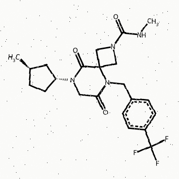 CNC(=O)N1CC2(C1)C(=O)N([C@@H]1CC[C@@H](C)C1)CC(=O)N2Cc1ccc(C(F)(F)F)cc1